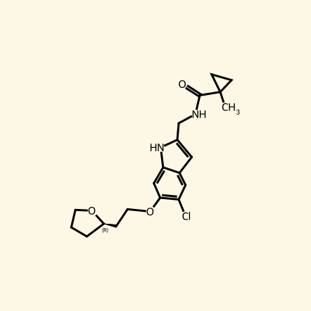 CC1(C(=O)NCc2cc3cc(Cl)c(OCC[C@H]4CCCO4)cc3[nH]2)CC1